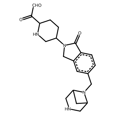 O=CC(=O)C1CCC(N2Cc3cc(CN4C5CNCC4C5)ccc3C2=O)CN1